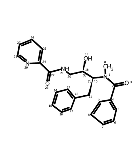 CN(C(=O)c1ccccc1)[C@@H](Cc1ccccc1)[C@H](O)CNC(=O)c1ccccn1